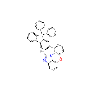 CCc1nc2cccc3c2n1-c1c(cccc1-c1ccc2c(c1)C(c1ccccc1)(c1ccccc1)c1ccccc1-2)O3